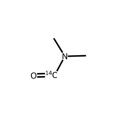 CN(C)[14CH]=O